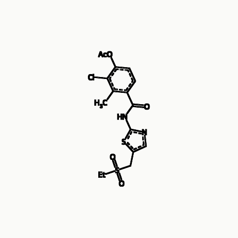 CCS(=O)(=O)Cc1cnc(NC(=O)c2ccc(OC(C)=O)c(Cl)c2C)s1